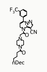 CCCCCCCCCCCCCC(=O)N1CCN(CC(=O)N2CC=C(c3cccc(C(F)(F)F)c3)n3ncc(C#N)c32)CC1